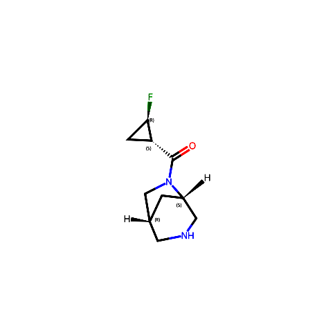 O=C([C@@H]1C[C@H]1F)N1C[C@H]2CNC[C@@H]1C2